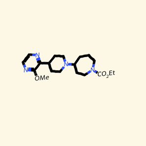 CCOC(=O)N1CCCC(N2CCC(c3nccnc3OC)CC2)CC1